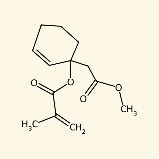 C=C(C)C(=O)OC1(CC(=O)OC)C=CCCC1